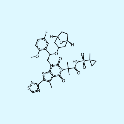 COc1ccc(F)cc1[C@H](Cn1c(=O)n(C(C)(C)C(=O)NS(=O)(=O)C2(C)CC2)c(=O)c2c(C)c(-c3ncsn3)sc21)OC1C[C@H]2CC[C@@H](C1)O2